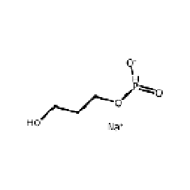 O=[PH]([O-])OCCCO.[Na+]